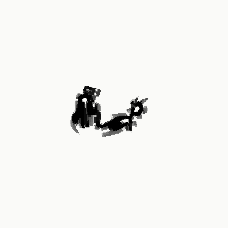 Cc1cc(O)nc(SCc2cncc(-c3cccnc3)c2)n1